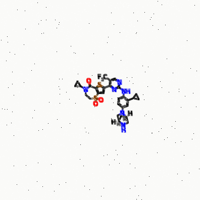 O=C1c2sc(-c3nc(Nc4ccc(N5C[C@H]6C[C@@H]5CN6)cc4C4CC4)ncc3C(F)(F)F)cc2S(=O)(=O)CCN1C1CC1